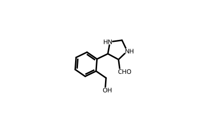 O=CC1NCNC1c1ccccc1CO